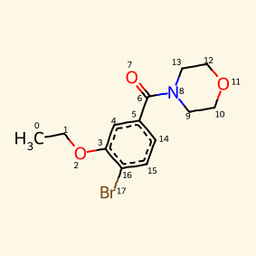 CCOc1cc(C(=O)N2CCOCC2)ccc1Br